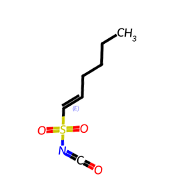 CCCC/C=C/S(=O)(=O)N=C=O